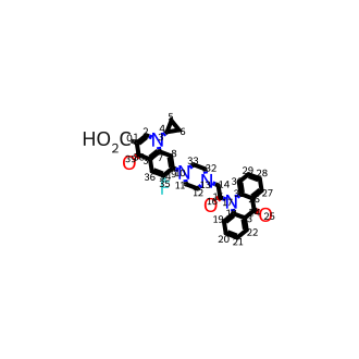 O=C(O)c1cn(C2CC2)c2cc(N3CCN(CC(=O)n4c5ccccc5c(=O)c5ccccc54)CC3)c(F)cc2c1=O